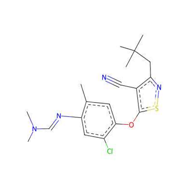 Cc1cc(Oc2snc(CC(C)(C)C)c2C#N)c(Cl)cc1N=CN(C)C